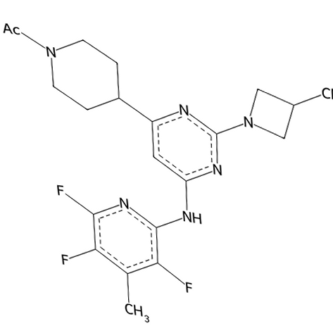 CC(=O)N1CCC(c2cc(Nc3nc(F)c(F)c(C)c3F)nc(N3CC(C#N)C3)n2)CC1